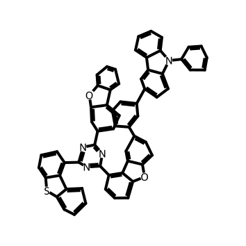 c1ccc(-n2c3ccccc3c3cc(-c4cccc(-c5ccc6oc7cccc(-c8nc(-c9ccc%10c(c9)oc9ccccc9%10)nc(-c9cccc%10sc%11ccccc%11c9%10)n8)c7c6c5)c4)ccc32)cc1